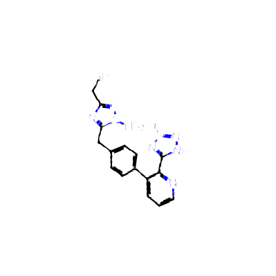 CCCCCn1nc(CC(C)C)nc1Cc1ccc(-c2cccnc2-c2nnn[nH]2)cc1